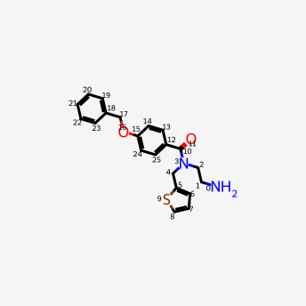 NCCN(Cc1cccs1)C(=O)c1ccc(OCc2ccccc2)cc1